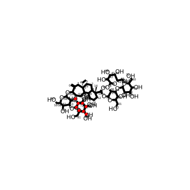 C=C1C[C@@]2(CC)CCC3C(CCC[C@@]3(C)C(=O)OC3OC(CO)C(O)C(OC4OC(CO)C(O)C(O)C4O)C3OC3OC(CO)C(O)C(O)C3O)[C@@H]2CCC1OC1OC(CO)C(O)C(OC2OC(CO)C(O)C(O)C2O)C1OC1OC(CO)C(O)C(O)C1O